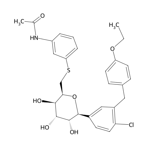 CCOc1ccc(Cc2cc([C@@H]3O[C@H](CSc4cccc(NC(C)=O)c4)[C@H](O)[C@@H](O)[C@H]3O)ccc2Cl)cc1